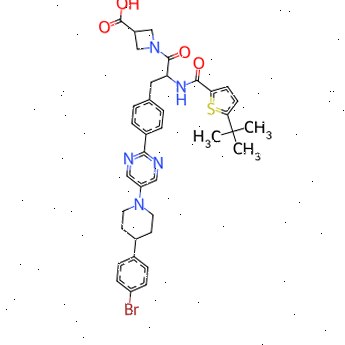 CC(C)(C)c1ccc(C(=O)NC(Cc2ccc(-c3ncc(N4CCC(c5ccc(Br)cc5)CC4)cn3)cc2)C(=O)N2CC(C(=O)O)C2)s1